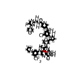 O=C(NNc1ncc(F)c(N2CCOCC2)n1)c1ccc(Nc2cc(Cl)cc(N3NCCC3C3CN(c4nc(NNC(=O)c5ccc(Nc6cc(N7CCCC7)cc(C(F)(F)F)c6)cn5)ncc4F)CCO3)c2)cn1